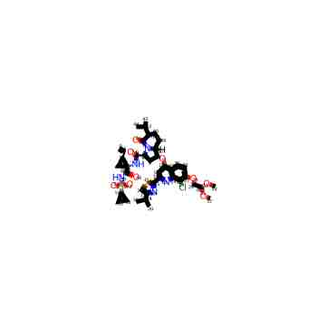 C=C[C@@H]1C[C@]1(NC(=O)[C@@H]1C[C@@H](Oc2cc(-c3nc(C(C)C)cs3)nc3c(Cl)c(OCC(OC)OC)ccc23)[C@H]2CCC(C(C)C)C(=O)N21)C(=O)NS(=O)(=O)C1CC1